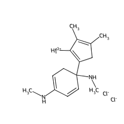 CNC1=CCC(NC)(C2=[C]([Hf+2])C(C)=C(C)C2)C=C1.[Cl-].[Cl-]